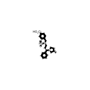 O=C(O)c1ccc(CN(CC[C@H](c2ccccc2)N2CC[C@@H](F)C2)[SH](=O)=O)cc1